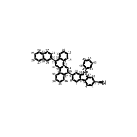 N#Cc1ccc2c3ccc(-c4cc5c6ccccc6c(-c6ccc7ccccc7c6)cc5c5ccccc45)cc3n(-c3ccccc3)c2c1